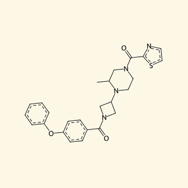 CC1CN(C(=O)c2nccs2)CCN1C1CN(C(=O)c2ccc(Oc3ccccc3)cc2)C1